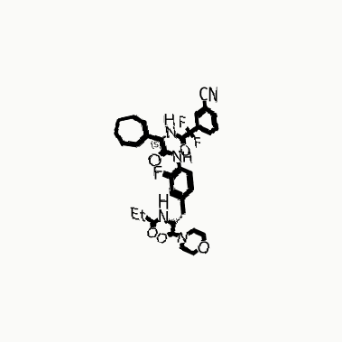 CCC(=O)N[C@H](Cc1ccc(NC(=O)[C@@H](NC(=O)C(F)(F)c2cccc(C#N)c2)C2CCCCCC2)c(F)c1)C(=O)N1CCOCC1